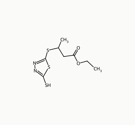 CCOC(=O)CC(C)Sc1nnc(S)s1